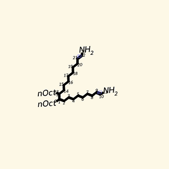 CCCCCCCCC(CCCCCCC/C=C/N)C(CCCCCCCC)CCCCCCC/C=C/N